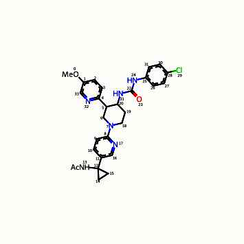 COc1ccc(C2CN(c3ccc(C4(NC(C)=O)CC4)cn3)CCC2NC(=O)Nc2ccc(Cl)cc2)nc1